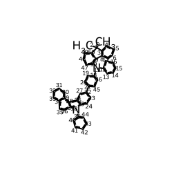 CC1(C)c2ccccc2-c2c(N(c3ccccc3)c3ccc(-c4ccc5c(c4)c4c6ccccc6ccc4n5-c4ccccc4)cc3)cccc21